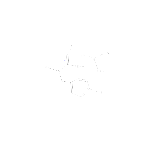 CCC[CH2][SnH]([CH2]CCC)[CH2]CCC.CCN(Cc1ccc(Cl)nc1)/C(=C/[N+](=O)[O-])NC